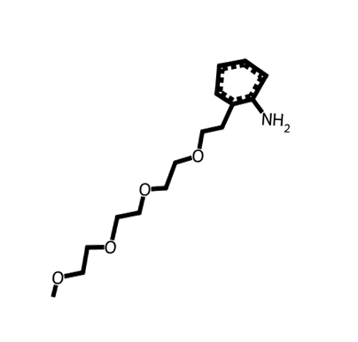 COCCOCCOCCOCCc1ccccc1N